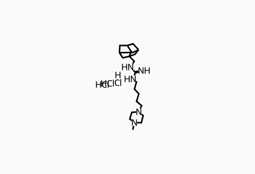 CN1CCN(CCCCCNC(=N)NCC23CC4CC(CC(C4)C2)C3)CC1.Cl.Cl.Cl